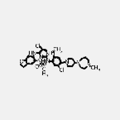 COc1cc(N2CCC(N3CCCN(C)CC3)CC2)c(Cl)cc1Nc1ncc(Cl)c(Nc2cc3c(cc2NS(C)(=O)=O)CCO3)n1